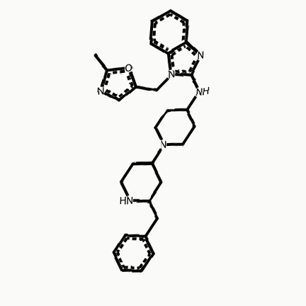 Cc1ncc(Cn2c(NC3CCN(C4CCNC(Cc5ccccc5)C4)CC3)nc3ccccc32)o1